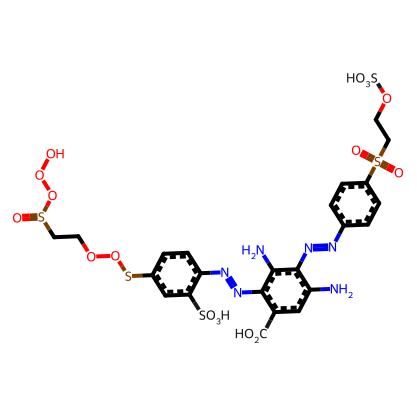 Nc1cc(C(=O)O)c(N=Nc2ccc(SOOCCS(=O)OOO)cc2S(=O)(=O)O)c(N)c1N=Nc1ccc(S(=O)(=O)CCOS(=O)(=O)O)cc1